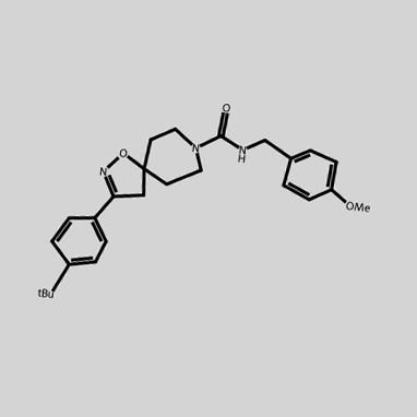 COc1ccc(CNC(=O)N2CCC3(CC2)CC(c2ccc(C(C)(C)C)cc2)=NO3)cc1